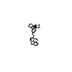 CCn1c2ccccc2c2cc(CCc3ccc4ccc5cccc6ccc3c4c56)ccc21